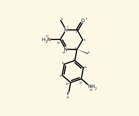 CN1C(=O)C[C@@](C)(c2ccc(F)c(N)c2)N=C1N